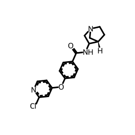 O=C(NC1CN2CC[C@H]1C2)c1ccc(Oc2ccnc(Cl)c2)cc1